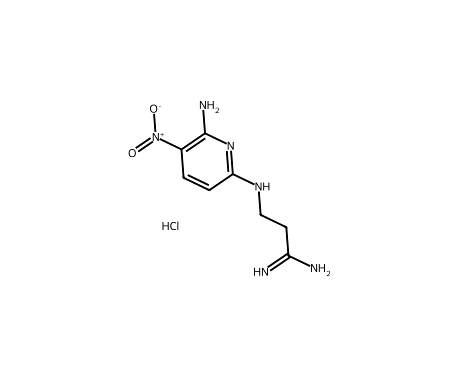 Cl.N=C(N)CCNc1ccc([N+](=O)[O-])c(N)n1